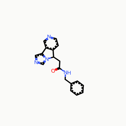 O=C(CC1c2ccncc2-c2cncn21)NCc1ccccc1